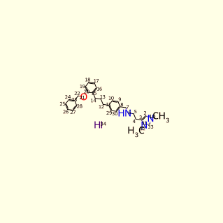 CN1C=C(CCNCc2ccc(CCCc3ccccc3OCc3ccccc3)cc2)N(C)C1.I